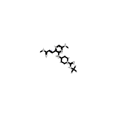 COC(=O)/C=C/c1ncc(OC)nc1NC1CCN(C(=O)OC(C)(C)C)CC1